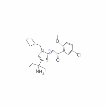 CCC(N)(CC)C1=CN(CC2CCC2)/C(=C/C(=O)c2cc(Cl)ccc2OC)S1